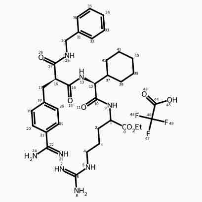 CCOC(=O)C(CCCNC(=N)N)NC(=O)[C@@H](NC(=O)[C@@H](Cc1ccc(C(=N)N)cc1)C(=O)NCc1ccccc1)C1CCCCC1.O=C(O)C(F)(F)F